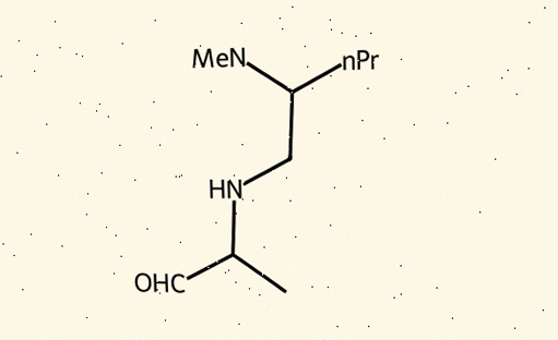 CCCC(CNC(C)C=O)NC